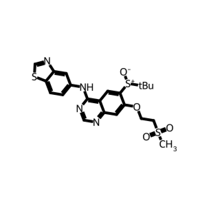 CC(C)(C)[S+]([O-])c1cc2c(Nc3ccc4scnc4c3)ncnc2cc1OCCS(C)(=O)=O